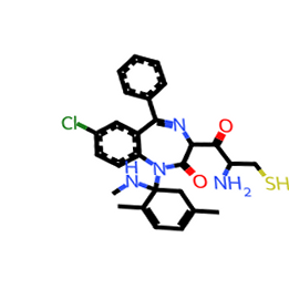 CNC1(N2C(=O)C(C(=O)C(N)CS)N=C(c3ccccc3)c3cc(Cl)ccc32)CC(C)=CC=C1C